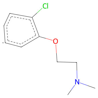 CN(C)CCOc1c[c]ccc1Cl